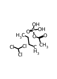 CC(=O)OP(=O)(O)O.CCCC.ClC(Cl)Cl